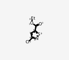 CCOC(=O)c1cc(Cl)ns1